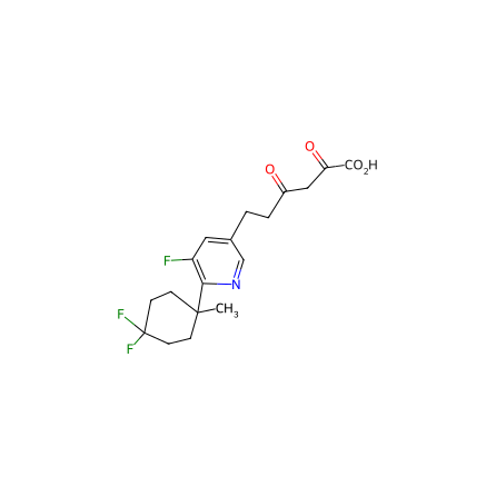 CC1(c2ncc(CCC(=O)CC(=O)C(=O)O)cc2F)CCC(F)(F)CC1